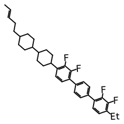 C/C=C/CCC1CCC(C2CCC(c3ccc(-c4ccc(-c5ccc(CC)c(F)c5F)cc4)c(F)c3F)CC2)CC1